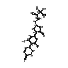 O=C1C=CN(c2c(F)cc(N3CC(CNC(=O)C(F)(F)S)OC3=O)cc2F)CC1